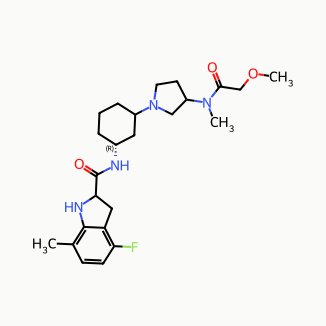 COCC(=O)N(C)C1CCN(C2CCC[C@@H](NC(=O)C3Cc4c(F)ccc(C)c4N3)C2)C1